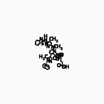 Cc1cc(N(C)c2ccc(-c3cnn(CC45CC6CC(CC(C6)C4)C5)c3C)c(C(=O)NS(=O)(=O)CCCC(=O)O)n2)nnc1Nc1nc2ccccc2s1